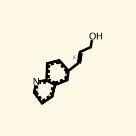 OC/C=C/c1ccc2ncccc2c1